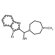 CCCC(c1nc2cccnc2n1CC)N1CCCN(C)CC1